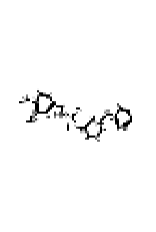 O=C(NCc1ccc(Cl)c(Cl)c1)NC1CCCN(Cc2ccccc2)C1